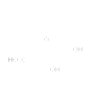 C[C@H](O)OC(O)C(=O)O